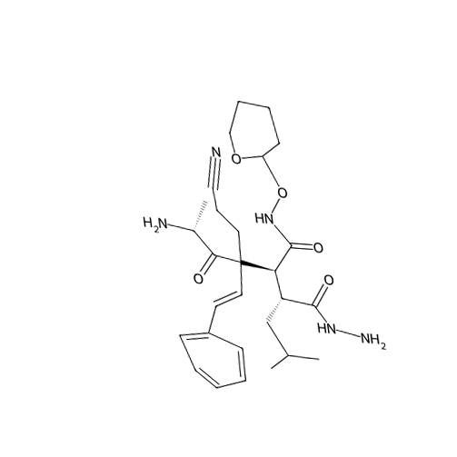 CC(C)C[C@@H](C(=O)NN)[C@H](C(=O)NOC1CCCCO1)C(/C=C/c1ccccc1)(CCC#N)C(=O)[C@@H](C)N